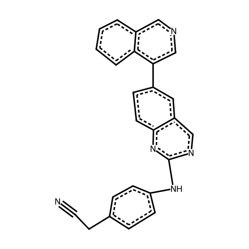 N#CCc1ccc(Nc2ncc3cc(-c4cncc5ccccc45)ccc3n2)cc1